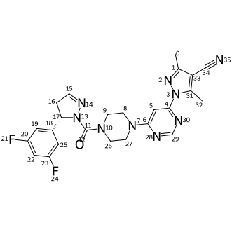 Cc1nn(-c2cc(N3CCN(C(=O)N4N=CC[C@H]4c4cc(F)cc(F)c4)CC3)ncn2)c(C)c1C#N